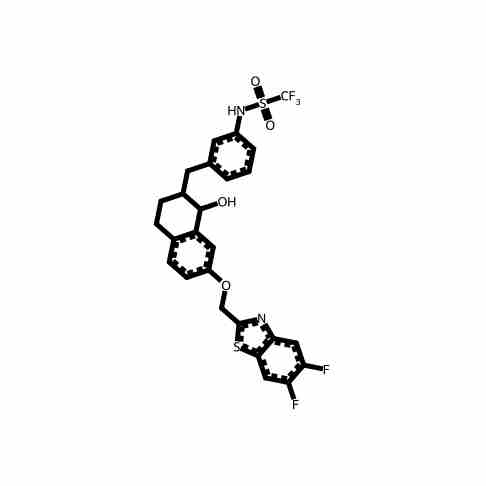 O=S(=O)(Nc1cccc(CC2CCc3ccc(OCc4nc5cc(F)c(F)cc5s4)cc3C2O)c1)C(F)(F)F